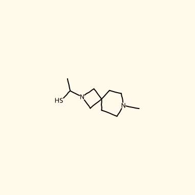 CC(S)N1CC2(CCN(C)CC2)C1